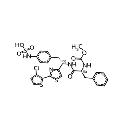 COC(=O)N[C@@H](Cc1ccccc1)C(=O)N[C@@H](Cc1ccc(NS(=O)(=O)O)cc1)c1csc(-c2sccc2Cl)n1